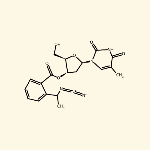 Cc1cn([C@H]2C[C@@H](OC(=O)c3ccccc3C(C)N=[N+]=[N-])[C@@H](CO)O2)c(=O)[nH]c1=O